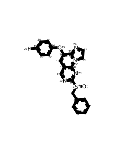 [O-][S+](Cc1ccccc1)c1ncc2cc(Oc3ccc(F)cc3)c3nccn3c2n1